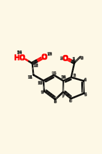 CC(=O)c1cccc2ccc(CC(=O)O)cc12